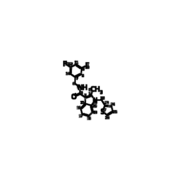 Cc1c(C(=O)NCc2cc(F)cc(F)c2)c2ccccc2n1Cc1cccs1